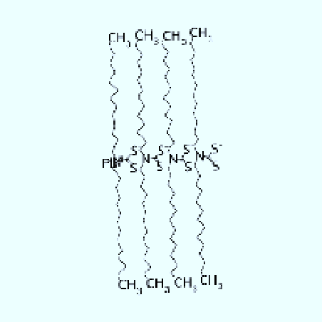 CCCCCCCCCCCCCCN(CCCCCCCCCCCCCC)C(=S)[S-].CCCCCCCCCCCCCCN(CCCCCCCCCCCCCC)C(=S)[S-].CCCCCCCCCCCCCCN(CCCCCCCCCCCCCC)C(=S)[S-].CCCCCCCCCCCCCCN(CCCCCCCCCCCCCC)C(=S)[S-].[Pb+4]